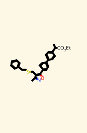 CCOC(=O)C(C)c1ccc(-c2ccc(-c3onc(C)c3CSCCc3ccccc3)cc2)cc1